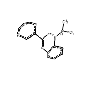 CC(=Nc1ccccc1O[SiH](C)C)c1cnccn1